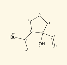 C=CC1(O)CCCC1C(C)C(C)CC